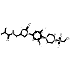 CC(C)C(=S)NCC1CN(c2cc(F)c(N3CCN(S(=O)(=O)CCl)CC3)c(F)c2)C(=O)O1